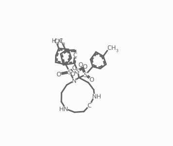 Cc1ccc(S(=O)(=O)N2CCCNCCCNCCC2(S(=O)(=O)c2ccc(C)cc2)S(=O)(=O)c2ccc(C)cc2)cc1